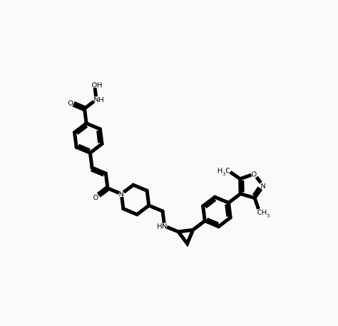 Cc1noc(C)c1-c1ccc(C2CC2NCC2CCN(C(=O)C=Cc3ccc(C(=O)NO)cc3)CC2)cc1